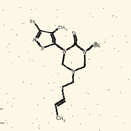 CC=CCCN1CN(c2snc(CC)c2C)C(=O)N(C(C)(C)C)C1